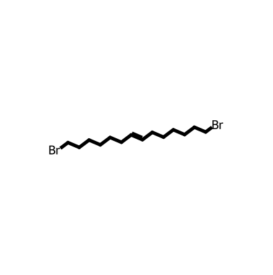 BrCCCCCC/C=C/CCCCCCBr